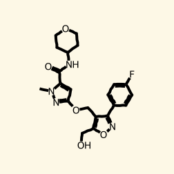 Cn1nc(OCc2c(-c3ccc(F)cc3)noc2CO)cc1C(=O)NC1CCOCC1